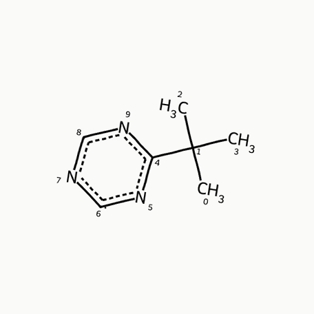 CC(C)(C)c1n[c]ncn1